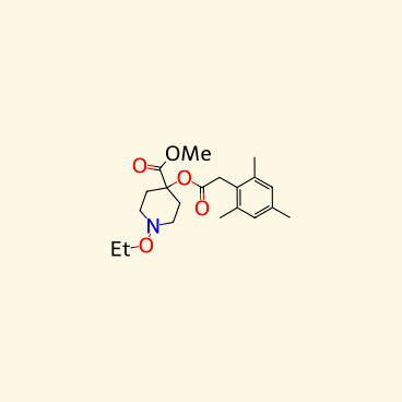 CCON1CCC(OC(=O)Cc2c(C)cc(C)cc2C)(C(=O)OC)CC1